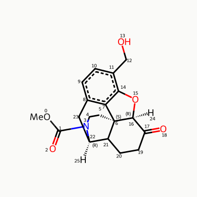 COC(=O)N1CC[C@]23c4c5ccc(CO)c4O[C@H]2C(=O)CCC3[C@H]1C5